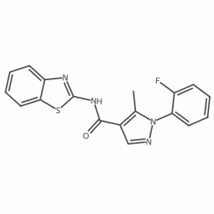 Cc1c(C(=O)Nc2nc3ccccc3s2)cnn1-c1ccccc1F